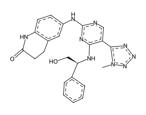 Cn1nnnc1-c1cnc(Nc2ccc3c(c2)CCC(=O)N3)nc1N[C@H](CO)c1ccccc1